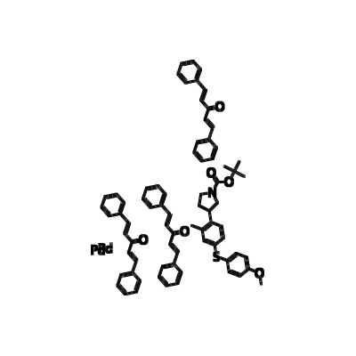 COc1ccc(Sc2ccc(C3CCN(C(=O)OC(C)(C)C)C3)c(C)c2)cc1.O=C(C=Cc1ccccc1)C=Cc1ccccc1.O=C(C=Cc1ccccc1)C=Cc1ccccc1.O=C(C=Cc1ccccc1)C=Cc1ccccc1.[Pd].[Pd]